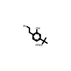 CCCCCCC(C)(C)c1ccc(CCC(C)=O)c(O)c1